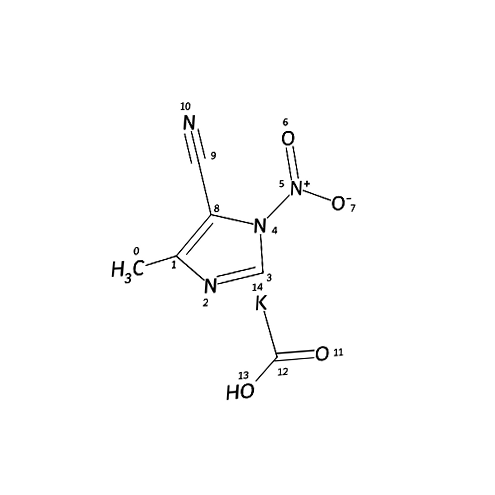 Cc1ncn([N+](=O)[O-])c1C#N.O=[C](O)[K]